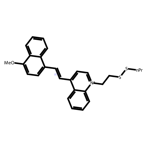 CCCSSCC[n+]1ccc(/C=C/c2ccc(OC)c3ccccc23)c2ccccc21